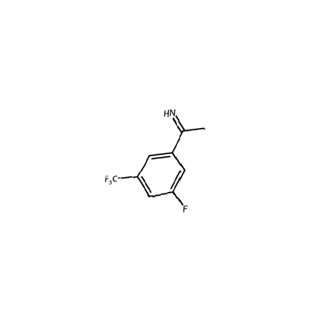 CC(=N)c1cc(F)cc(C(F)(F)F)c1